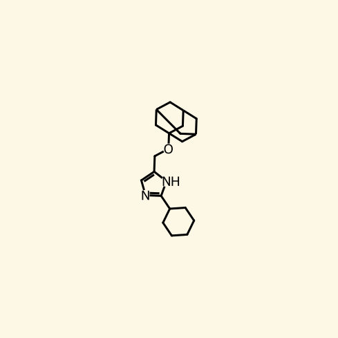 c1nc(C2CCCCC2)[nH]c1COC12CC3CC(CC(C3)C1)C2